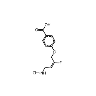 O=C(O)c1ccc(OC/C(F)=C\CNCl)cc1